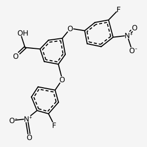 O=C(O)c1cc(Oc2ccc([N+](=O)[O-])c(F)c2)cc(Oc2ccc([N+](=O)[O-])c(F)c2)c1